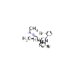 C=C/C(=C\C=C/C)CNc1cc(-c2ccccc2Br)nc2c(Br)cnn12